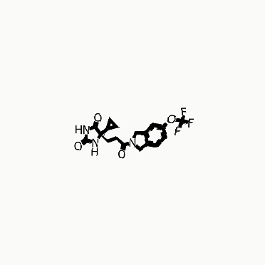 O=C1NC(=O)[C@](CCC(=O)N2Cc3ccc(OC(F)(F)F)cc3C2)(C2CC2)N1